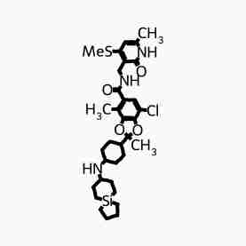 CSc1cc(C)[nH]c(=O)c1CNC(=O)c1cc(Cl)c2c(c1C)OC(C)(C1CCC(NC3CC[Si]4(CCCC4)CC3)CC1)O2